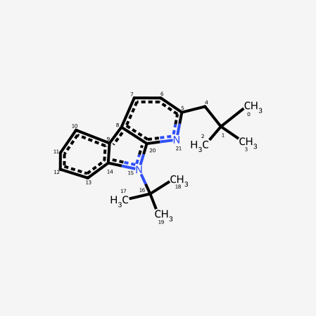 CC(C)(C)Cc1ccc2c3ccccc3n(C(C)(C)C)c2n1